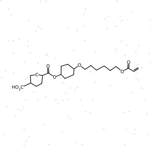 C=CC(=O)OCCCCCCOC1CCC(OC(=O)C2CCC(C(=O)O)CC2)CC1